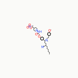 CCCCCCC(C#N)CCC(c1ccc(OCC(=O)NN2CCC(C(C)O[N+](=O)[O-])CC2)cc1)N(C)CCc1ccc(OC)cc1